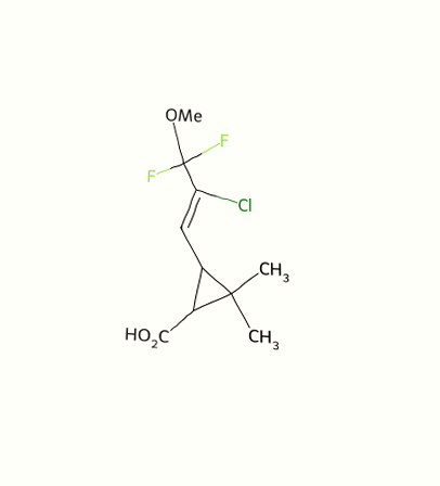 COC(F)(F)C(Cl)=CC1C(C(=O)O)C1(C)C